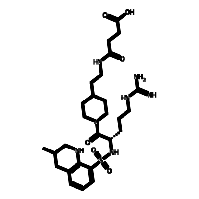 CC1CNc2c(cccc2S(=O)(=O)N[C@@H](CCCNC(=N)N)C(=O)N2CCC(CCNC(=O)CCC(=O)O)CC2)C1